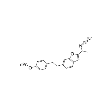 CCCOc1ccc(CCc2ccc3cc(C(C)N=[N+]=[N-])oc3c2)cc1